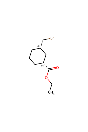 CCOC(=O)[C@@H]1CCC[C@H](CBr)C1